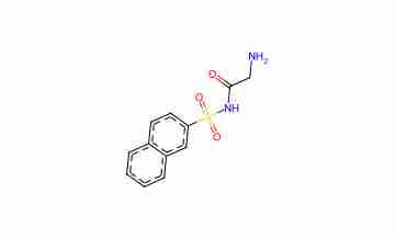 NCC(=O)NS(=O)(=O)c1ccc2ccccc2c1